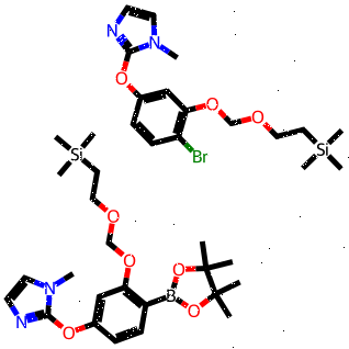 Cn1ccnc1Oc1ccc(B2OC(C)(C)C(C)(C)O2)c(OCOCC[Si](C)(C)C)c1.Cn1ccnc1Oc1ccc(Br)c(OCOCC[Si](C)(C)C)c1